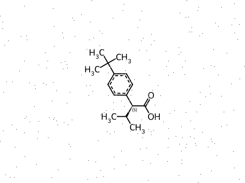 CC(C)[C@H](C(=O)O)c1ccc(C(C)(C)C)cc1